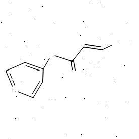 CCOC(=O)/C=C/C(=O)Nc1ccncc1